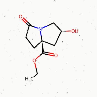 CCOC(=O)[C@@]12CCC(=O)N1C[C@H](O)C2